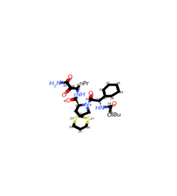 CCCC(NC(=O)[C@@H]1CC2(CN1C(=O)[C@@H](NC(=O)OCC(C)C)C1CCCCC1)SCCCS2)C(=O)C(N)=O